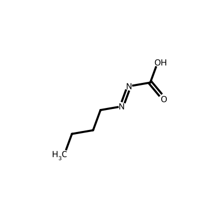 CCCCN=NC(=O)O